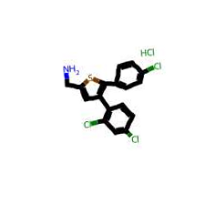 Cl.NCc1cc(-c2ccc(Cl)cc2Cl)c(-c2ccc(Cl)cc2)s1